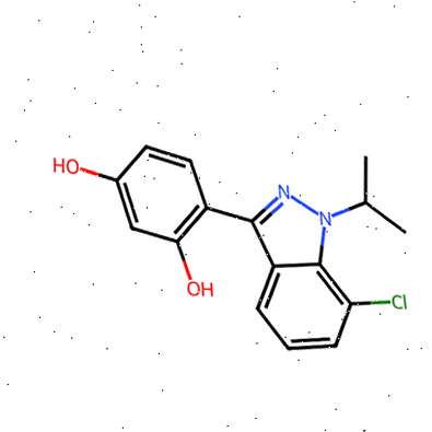 CC(C)n1nc(-c2ccc(O)cc2O)c2cccc(Cl)c21